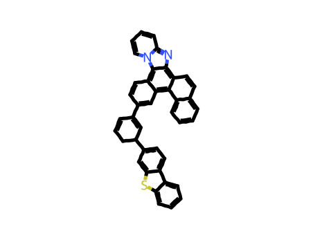 C1=CC(c2ccc3c(c2)c2c4ccccc4ccc2c2nc4ccccn4c32)=CC(c2ccc3c(c2)sc2ccccc23)C1